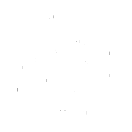 CCO[Si](CC)(CC)CC(CN(CC)CC)(CN(CC)CC)CN(CC)CC